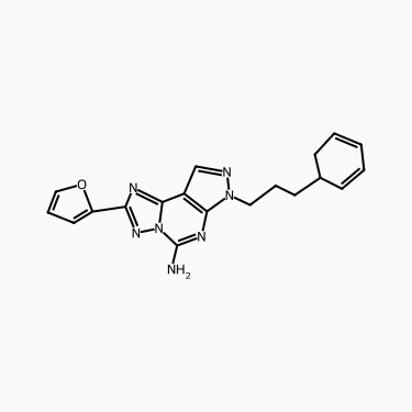 Nc1nc2c(cnn2CCCC2C=CC=CC2)c2nc(-c3ccco3)nn12